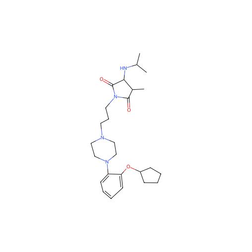 CC(C)NC1C(=O)N(CCCN2CCN(c3ccccc3OC3CCCC3)CC2)C(=O)C1C